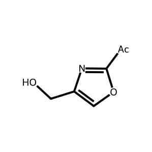 CC(=O)c1nc(CO)co1